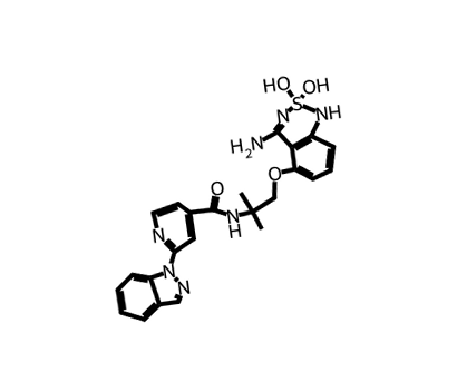 CC(C)(COc1cccc2c1C(N)=NS(O)(O)N2)NC(=O)c1ccnc(-n2ncc3ccccc32)c1